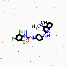 CN(C)c1cc(NC2CCC(CNC(=O)Nc3c(Br)cc(F)cc3Br)CC2)nc2ccccc12